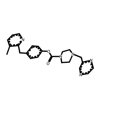 Cc1cccnc1Cc1ccc(OC(=O)N2CCN(Cc3cnccn3)CC2)cc1